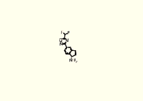 N[C@@H]1CCc2cc(-c3noc(C(F)F)n3)ccc21